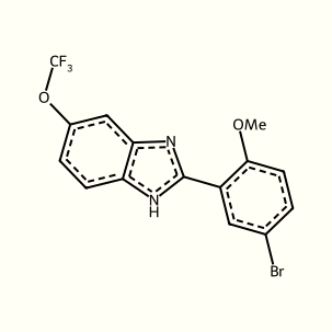 COc1ccc(Br)cc1-c1nc2cc(OC(F)(F)F)ccc2[nH]1